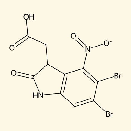 O=C(O)CC1C(=O)Nc2cc(Br)c(Br)c([N+](=O)[O-])c21